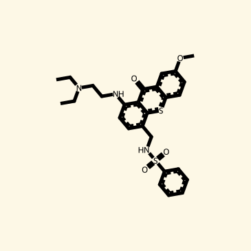 CCN(CC)CCNc1ccc(CNS(=O)(=O)c2ccccc2)c2sc3ccc(OC)cc3c(=O)c12